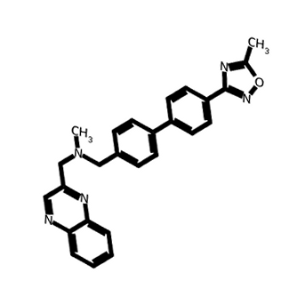 Cc1nc(-c2ccc(-c3ccc(CN(C)Cc4cnc5ccccc5n4)cc3)cc2)no1